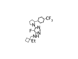 CCC1(CNc2ncnc(N3CCCC3c3ccc(C(F)(F)F)cc3)c2F)CCC1